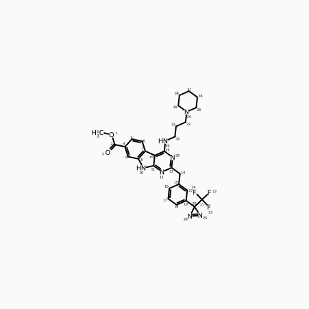 COC(=O)c1ccc2c(c1)[nH]c1nc(Cc3cccc(C4(C(F)(F)F)N=N4)c3)nc(NCCCN3CCCCC3)c12